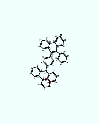 c1ccc(-c2ccccc2N(c2ccccc2)c2ccc(-c3c(-c4ccccc4)c4ccccc4c4ccccc34)cc2)cc1